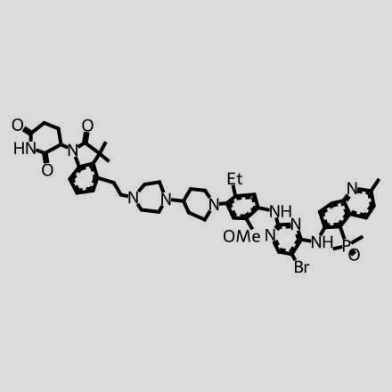 CCc1cc(Nc2ncc(Br)c(Nc3ccc4nc(C)ccc4c3P(C)(C)=O)n2)c(OC)cc1N1CCC(N2CCN(CCc3cccc4c3C(C)(C)C(=O)N4C3CCC(=O)NC3=O)CC2)CC1